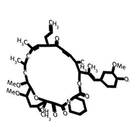 C=CCC1/C=C(/C)CC(C)CC(OC)C2OC(O)(C(=O)C(=O)N3CCCCC3C(=O)OC(/C(C)=C/C3CCC(OC(C)=O)C(OC)C3)C(C)/C=C\C1=O)C(C)CC2OC